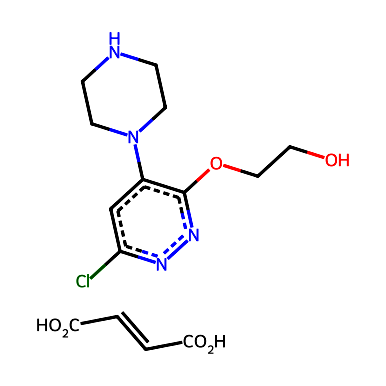 O=C(O)/C=C/C(=O)O.OCCOc1nnc(Cl)cc1N1CCNCC1